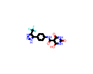 O=C(Nc1ccc(-c2[nH]nnc2C(F)(F)F)cc1)c1c(O)[nH]c(=O)[nH]c1=O